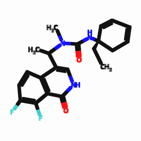 CC[C@@]1(NC(=O)N(C)C(C)c2c[nH]c(=O)c3c(F)c(F)ccc23)C=CC=CC1